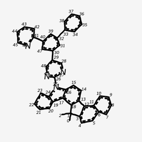 CC1(C)c2ccc3ccccc3c2-c2ccc3c(c21)c1ccccc1n3-c1ncc(-c2cc(-c3ccccc3)cc(-c3ccccn3)c2)cn1